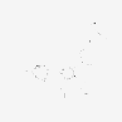 C[Si](C)(C)Oc1c(C(Br)CCN[SH](=O)=O)oc(-c2ccc(Cl)cc2Cl)c1O